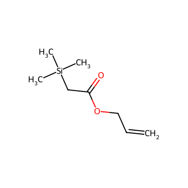 C=CCOC(=O)C[Si](C)(C)C